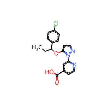 CCC(Oc1ccnn1-c1cc(C(=O)O)ccn1)c1ccc(Cl)cc1